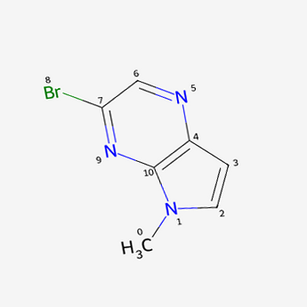 Cn1ccc2ncc(Br)nc21